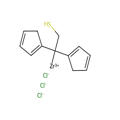 SC[C]([Zr+3])(C1=CC=CC1)C1=CC=CC1.[Cl-].[Cl-].[Cl-]